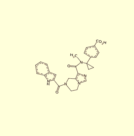 CN(C(=O)c1ncn2c1CN(C(=O)c1cc3ccccc3[nH]1)CC2)C1(c2ccc(C(=O)O)cc2)CC1